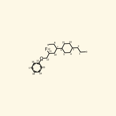 CCCC1CCC(C(CC)CC(F)COc2ccccc2)CC1